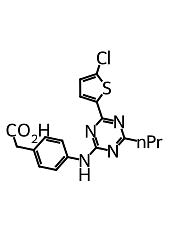 CCCc1nc(Nc2ccc(CC(=O)O)cc2)nc(-c2ccc(Cl)s2)n1